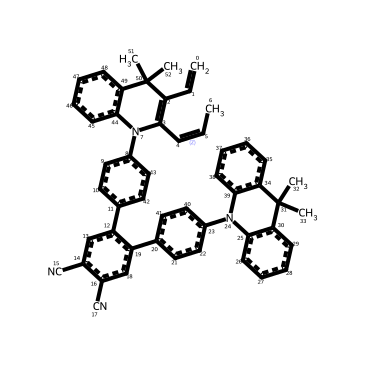 C=CC1=C(/C=C\C)N(c2ccc(-c3cc(C#N)c(C#N)cc3-c3ccc(N4c5ccccc5C(C)(C)c5ccccc54)cc3)cc2)c2ccccc2C1(C)C